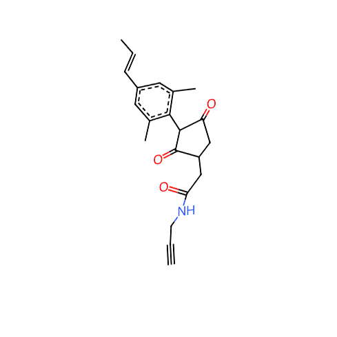 C#CCNC(=O)CC1CC(=O)C(c2c(C)cc(/C=C/C)cc2C)C1=O